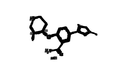 Cl.Cn1cnc(-c2ccc(O[C@@H]3CCNC[C@@H]3F)c(C(N)=O)c2)c1